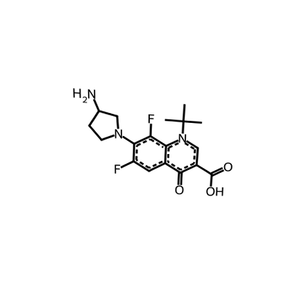 CC(C)(C)n1cc(C(=O)O)c(=O)c2cc(F)c(N3CCC(N)C3)c(F)c21